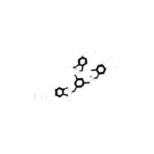 O=C(O)c1ccc2c(c1)CON(Cc1cc(CN3Cc4ccc(C(=O)O)cc4C3=O)cc(CN3Cc4ccc(C(=O)O)cc4C3=O)c1)C2